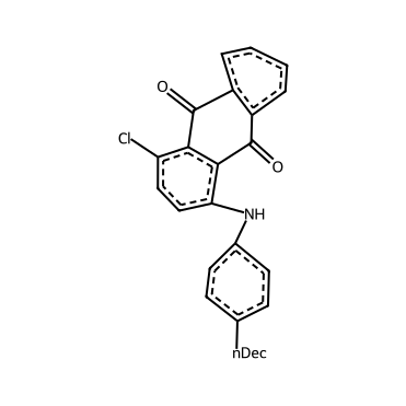 CCCCCCCCCCc1ccc(Nc2ccc(Cl)c3c2C(=O)c2ccccc2C3=O)cc1